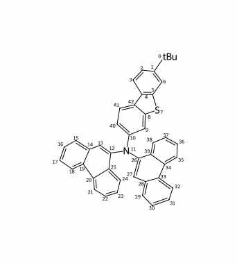 CC(C)(C)c1ccc2c(c1)sc1cc(N(c3cc4ccccc4c4ccccc34)c3cc4ccccc4c4ccccc34)ccc12